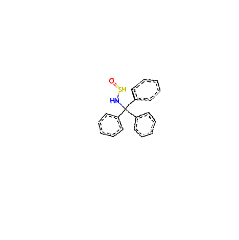 O=[SH]NC(c1ccccc1)(c1ccccc1)c1ccccc1